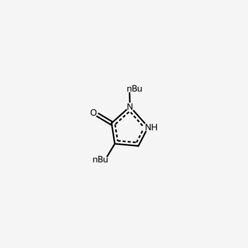 CCCCc1c[nH]n(CCCC)c1=O